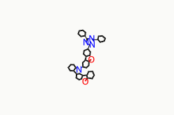 c1ccc(-c2nc(-c3ccccc3)nc(-c3ccc4c(c3)oc3ccc(-n5c6ccccc6c6ccc7oc8ccccc8c7c65)cc34)n2)cc1